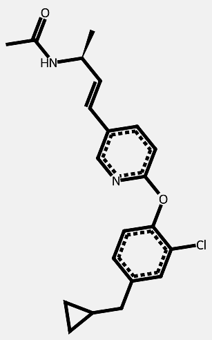 CC(=O)N[C@@H](C)/C=C/c1ccc(Oc2ccc(CC3CC3)cc2Cl)nc1